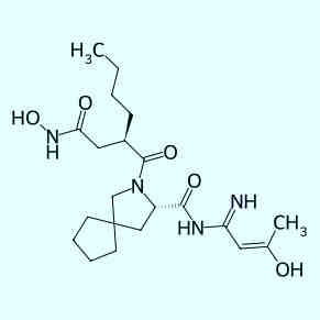 CCCC[C@H](CC(=O)NO)C(=O)N1CC2(CCCC2)C[C@H]1C(=O)NC(=N)/C=C(\C)O